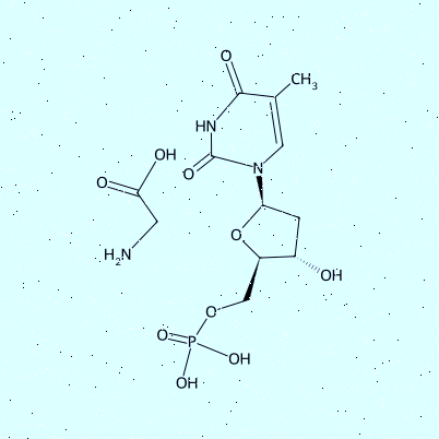 Cc1cn([C@H]2C[C@H](O)[C@@H](COP(=O)(O)O)O2)c(=O)[nH]c1=O.NCC(=O)O